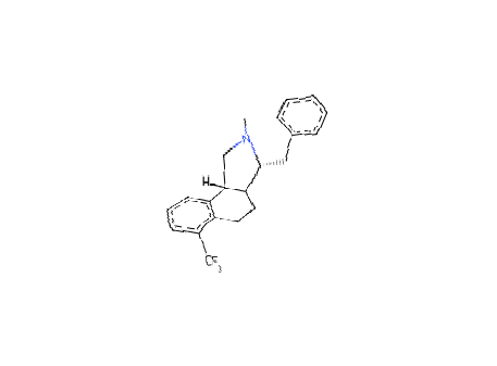 CN1C[C@H]2c3cccc(C(F)(F)F)c3CCC2[C@H]1Cc1ccccc1